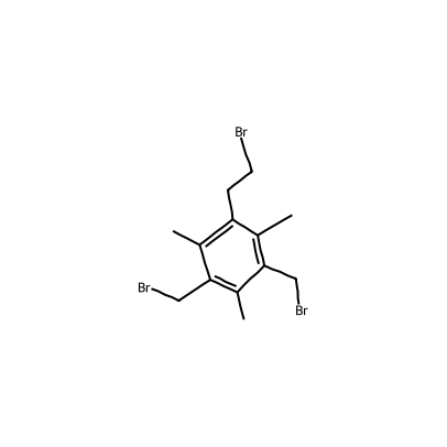 Cc1c(CBr)c(C)c(CCBr)c(C)c1CBr